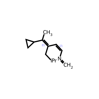 C=N/C=C\C(CC(C)C)=C(/C)C1CC1